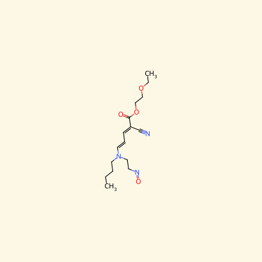 CCCCN(/C=C/C=C(\C#N)C(=O)OCCOCC)CCN=O